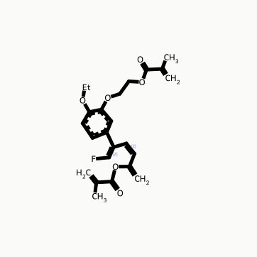 C=C(/C=C\C(=C\F)c1ccc(OCC)c(OCCOC(=O)C(=C)C)c1)OC(=O)C(=C)C